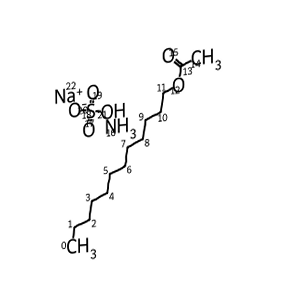 CCCCCCCCCCCCOC(C)=O.N.O=S(=O)([O-])O.[Na+]